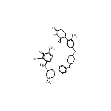 Cc1cc(OC2CCN(Cc3ccc([C@H]4C[C@@H](Nc5cnn(C)c(=O)c5Br)CN(C)C4)cc3)CC2)ccc1C1CCC(=O)NC1=O